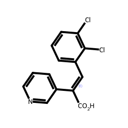 O=C(O)/C(=C/c1cccc(Cl)c1Cl)c1cccnc1